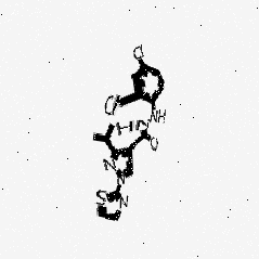 CC(C)c1nn(-c2nccs2)cc1C(=O)NNc1ccc(Cl)cc1Cl